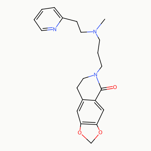 CN(CCCN1CCc2cc3c(cc2C1=O)OCO3)CCc1ccccn1